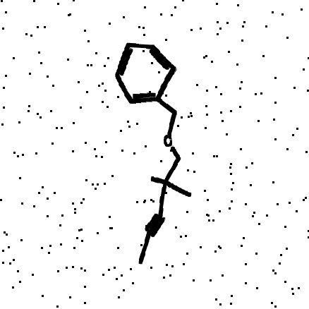 CC#CC(C)(C)COCc1ccccc1